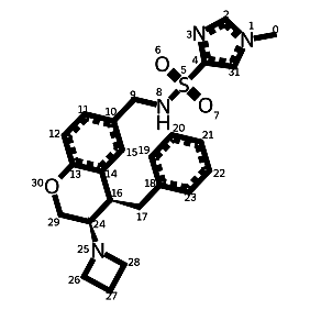 Cn1cnc(S(=O)(=O)NCc2ccc3c(c2)[C@@H](Cc2ccccc2)[C@@H](N2CCC2)CO3)c1